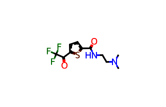 CN(C)CCNC(=O)c1ccc(C(=O)C(F)(F)F)s1